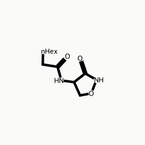 CCCCCCCC(=O)NC1CONC1=O